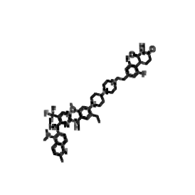 CCc1cc(Nc2ncc(C(F)(F)F)c(Nc3ccc4nc(C)ccc4c3P(C)C)n2)c(OC)cc1N1CCC(N2CCN(CCc3cc(F)c(C4CCC(=O)NC4=O)c(F)c3)CC2)CC1